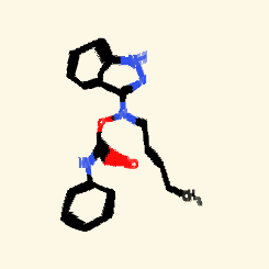 CCCCCN(OC(=O)Nc1ccccc1)c1n[nH]c2ccccc12